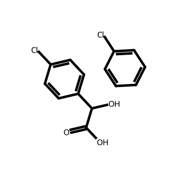 Clc1ccccc1.O=C(O)C(O)c1ccc(Cl)cc1